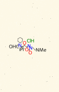 CNCCn1nc(C(=O)[C@H](C(C)C)N(C=O)C2CCCCC2)oc1=O.Cl